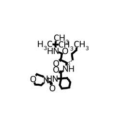 CCCC[C@H](NC(=O)C1(NC(=O)N2CCOCC2)CCCCC1)C(=O)C(=O)NC(C)(C)C